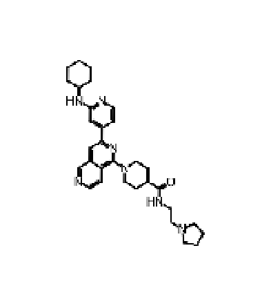 O=C(NCCN1CCCC1)C1CCN(c2nc(-c3ccnc(NC4CCCCC4)c3)cc3cnccc23)CC1